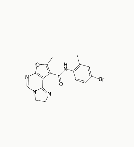 Cc1cc(Br)ccc1NC(=O)c1c(C)oc2c1C1=NCCN1C=N2